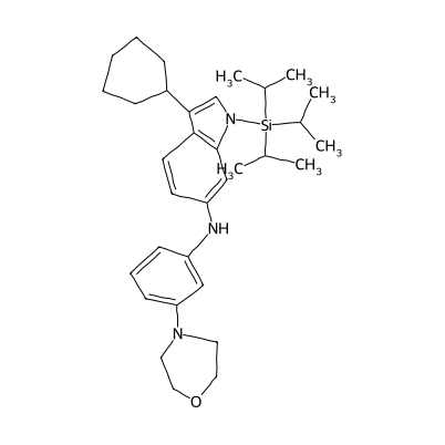 CC(C)[Si](C(C)C)(C(C)C)n1cc(C2CCCCC2)c2ccc(Nc3cccc(N4CCOCC4)c3)cc21